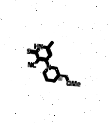 COC[C@H]1CCCN(c2cc(C)[nH]c(=S)c2C#N)C1